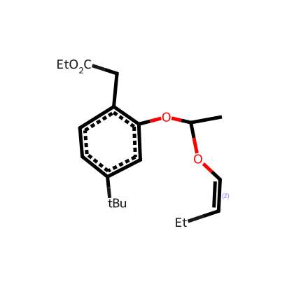 CC/C=C\OC(C)Oc1cc(C(C)(C)C)ccc1CC(=O)OCC